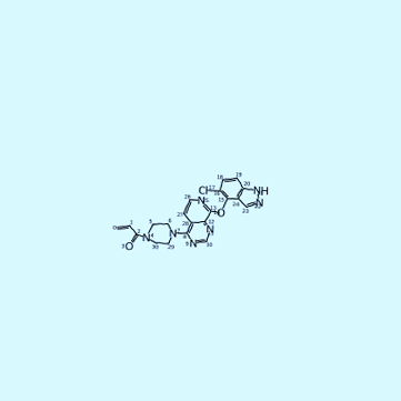 C=CC(=O)N1CCN(c2ncnc3c(Oc4c(Cl)ccc5[nH]ncc45)nccc23)CC1